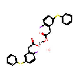 O=C(Cc1cc(Sc2ccccc2)ccc1I)[O][Al+][O]C(=O)Cc1cc(Sc2ccccc2)ccc1I.[OH-]